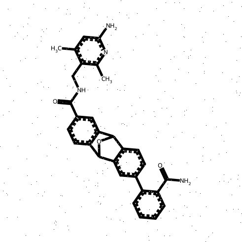 Cc1cc(N)nc(C)c1CNC(=O)c1ccc2c(c1)C1OC2c2cc(-c3ccccc3C(N)=O)ccc21